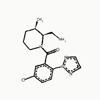 C[C@@H]1CCCN(C(=O)c2cc(Cl)ccc2-n2nccn2)[C@@H]1CN